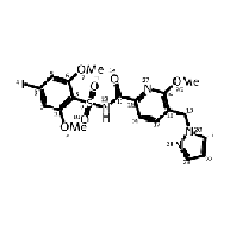 COc1cc(I)cc(OC)c1S(=O)(=O)NC(=O)c1ccc(Cn2cccn2)c(OC)n1